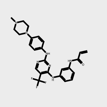 C=CC(=O)Nc1cccc(Nc2nc(Nc3ccc(N4CCN(C)CC4)cc3)ncc2C(F)(F)F)c1